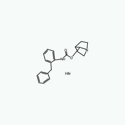 Br.O=C(Nc1ccccc1Cc1ccccc1)OC1CN2CCC1CC2